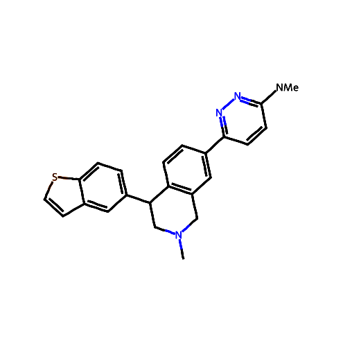 CNc1ccc(-c2ccc3c(c2)CN(C)CC3c2ccc3sccc3c2)nn1